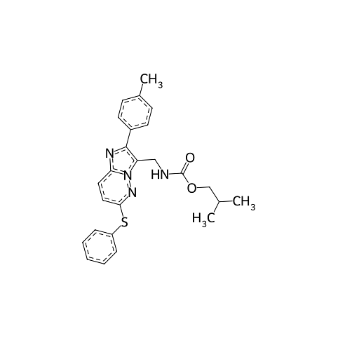 Cc1ccc(-c2nc3ccc(Sc4ccccc4)nn3c2CNC(=O)OCC(C)C)cc1